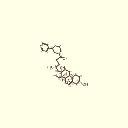 C[C@H](CCC(=O)N1CCCC(c2ccncc2)C1)[C@H]1CC[C@H]2[C@@H]3CC=C4C[C@@H](O)CC[C@]4(C)[C@H]3CC[C@]12C